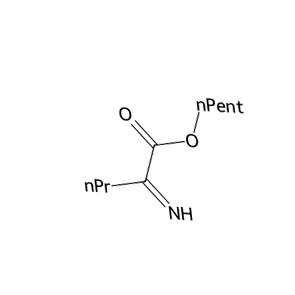 CCCCCOC(=O)C(=N)CCC